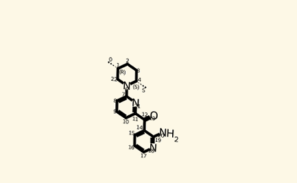 C[C@@H]1CC[C@H](C)N(c2cccc(C(=O)c3cccnc3N)n2)C1